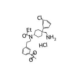 CCC(=O)N(CCc1cccc(S(C)(=O)=O)c1)[C@H]1CC[C@@](CN)(c2cccc(Cl)c2)CC1.Cl